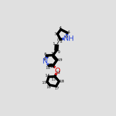 C(#C[C@@H]1CCCN1)c1cncc(OC2CCCCC2)c1